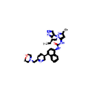 CC(C)(C)C1=N[N+](CCCC#N)(c2cn[nH]c2)C(NC(=O)Nc2ccc(-c3ccc(CN4CCOCC4)nc3)c3ccccc23)=C1